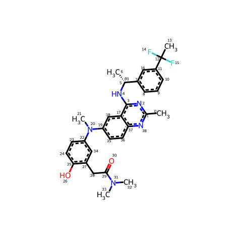 Cc1nc(N[C@H](C)c2cccc(C(C)(F)F)c2)c2cc(N(C)c3ccc(O)c(CC(=O)N(C)C)c3)ccc2n1